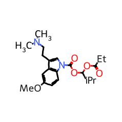 CCC(=O)OC(OC(=O)n1cc(CCN(C)C)c2cc(OC)ccc21)C(C)C